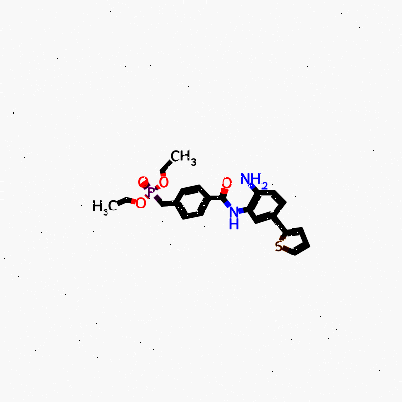 CCOP(=O)(Cc1ccc(C(=O)Nc2cc(-c3cccs3)ccc2N)cc1)OCC